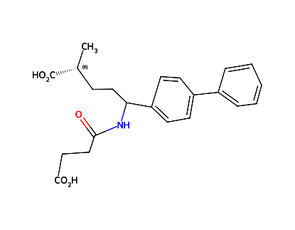 C[C@H](CCC(NC(=O)CCC(=O)O)c1ccc(-c2ccccc2)cc1)C(=O)O